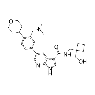 CN(C)Cc1cc(-c2cnc3[nH]cc(C(=O)NCC4(CO)CCC4)c3c2)ccc1C1CCOCC1